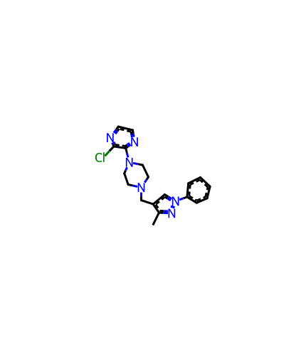 Cc1nn(-c2ccccc2)cc1CN1CCN(c2nccnc2Cl)CC1